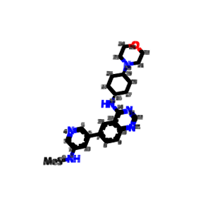 CSNc1cncc(-c2ccc3ncnc(N[C@H]4CC[C@H](N5CCOCC5)CC4)c3c2)c1